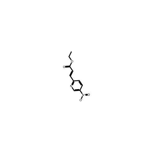 CCOC(=O)C=Cc1ccc([N+](=O)[O-])cn1